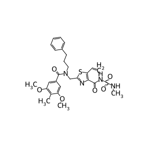 C=Cc1sc(CN(CCCc2ccccc2)C(=O)c2cc(OC)c(C)c(OC)c2)nc1C(=O)NS(=O)(=O)NC